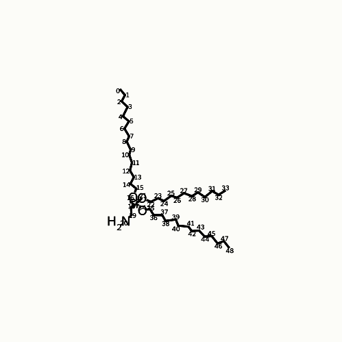 CCCCCCCCCCCCCCCCO[Si](CCN)(OCCCCCCCCCCCC)OCCCCCCCCCCCCCC